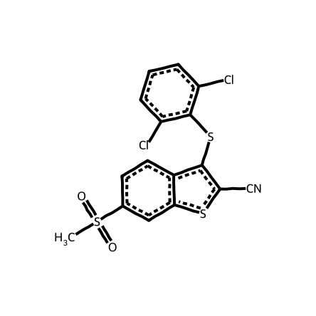 CS(=O)(=O)c1ccc2c(Sc3c(Cl)cccc3Cl)c(C#N)sc2c1